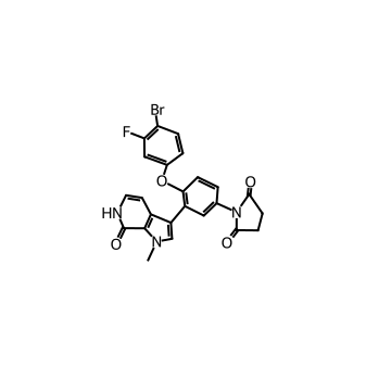 Cn1cc(-c2cc(N3C(=O)CCC3=O)ccc2Oc2ccc(Br)c(F)c2)c2cc[nH]c(=O)c21